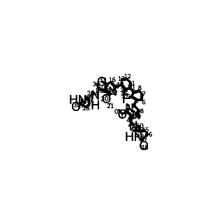 COc1nc(-c2cccc(-c3cccc(-c4cc5c(c(OC)n4)[C@@H](NC[C@@H]4CCC(=O)N4)CO5)c3C)c2F)cnc1CN1CC2(CCC(=O)N2)C1